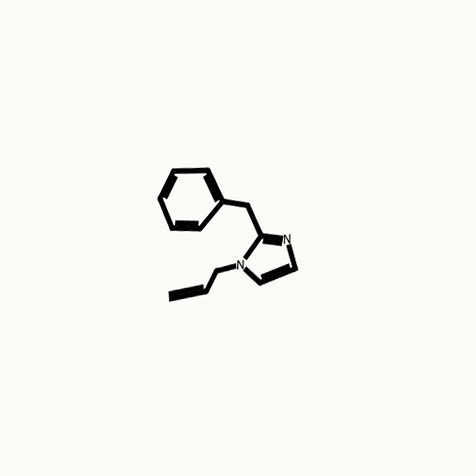 C=CCn1ccnc1Cc1ccccc1